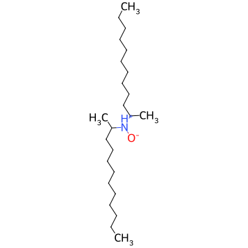 CCCCCCCCCCC(C)[NH+]([O-])C(C)CCCCCCCCCC